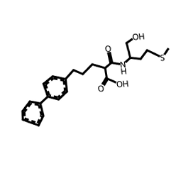 CSCCC(CO)NC(=O)C(CCCc1ccc(-c2ccccc2)cc1)C(=O)O